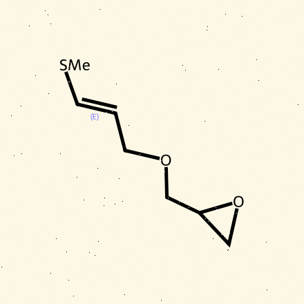 CS/C=C/COCC1CO1